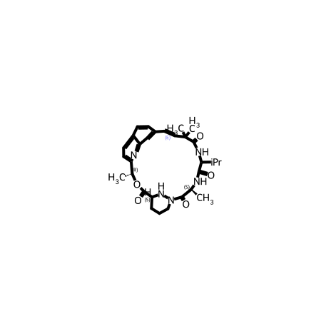 CC(C)C1NC(=O)C(C)(C)/C=C/c2ccc3ccc(nc3c2)[C@@H](C)OC(=O)[C@@H]2CCCN(N2)C(=O)[C@H](C)NC1=O